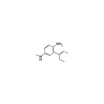 CC=C(CC)c1cc(NC)ccc1N